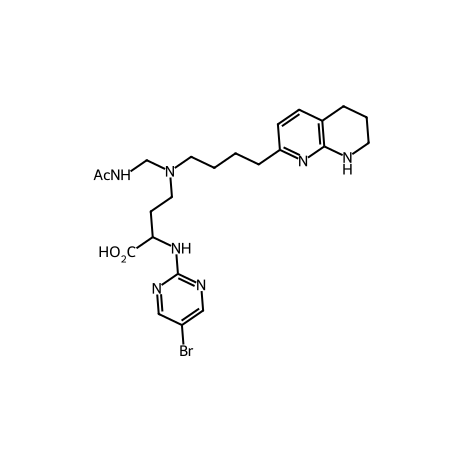 CC(=O)NCN(CCCCc1ccc2c(n1)NCCC2)CCC(Nc1ncc(Br)cn1)C(=O)O